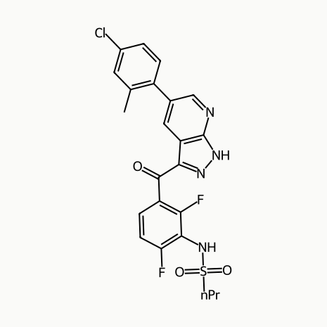 CCCS(=O)(=O)Nc1c(F)ccc(C(=O)c2n[nH]c3ncc(-c4ccc(Cl)cc4C)cc23)c1F